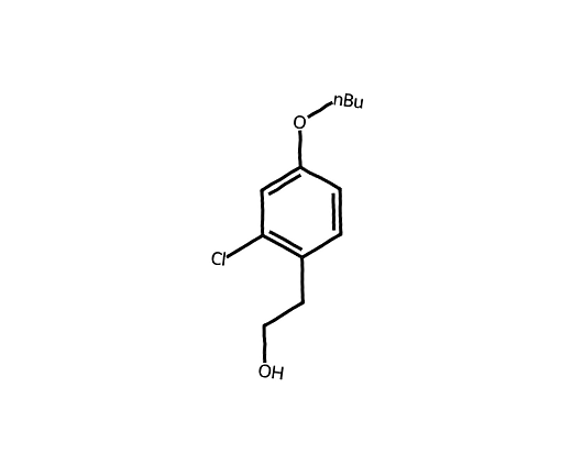 CCCCOc1ccc(CCO)c(Cl)c1